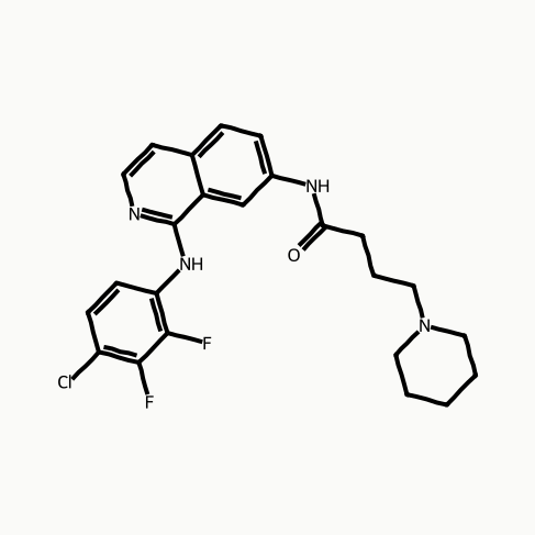 O=C(CCCN1CCCCC1)Nc1ccc2ccnc(Nc3ccc(Cl)c(F)c3F)c2c1